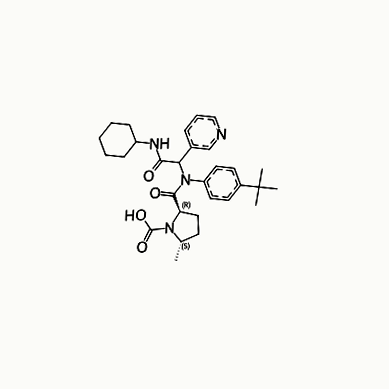 C[C@H]1CC[C@H](C(=O)N(c2ccc(C(C)(C)C)cc2)C(C(=O)NC2CCCCC2)c2cccnc2)N1C(=O)O